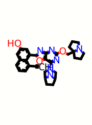 C#Cc1cccc2cc(O)cc(-c3nc4nc(OCC56CCCN5CCC6)nc(N5CC6CCC(C5)N6)c4o3)c12